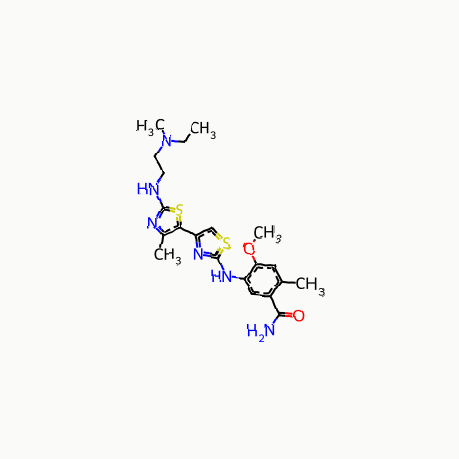 CCN(C)CCNc1nc(C)c(-c2csc(Nc3cc(C(N)=O)c(C)cc3OC)n2)s1